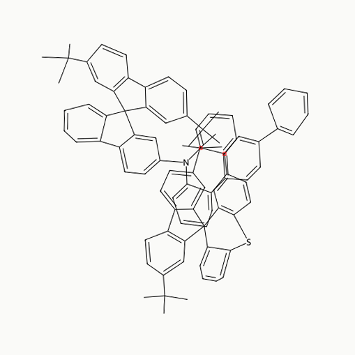 CC(C)(C)c1ccc2c(c1)C1(c3ccccc3Sc3ccc(-c4ccccc4N(c4ccc5c(c4)C4(c6ccccc6-5)c5cc(C(C)(C)C)ccc5-c5ccc(C(C)(C)C)cc54)c4ccccc4-c4ccc(-c5ccccc5)cc4)cc31)c1cc(C(C)(C)C)ccc1-2